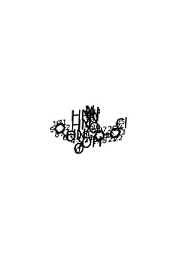 O=C(O)[C@H](COCc1ccccc1)N[C@@H](Cc1ccc(-c2cccc(Cl)c2)cc1)C(=O)Nc1nnn[nH]1